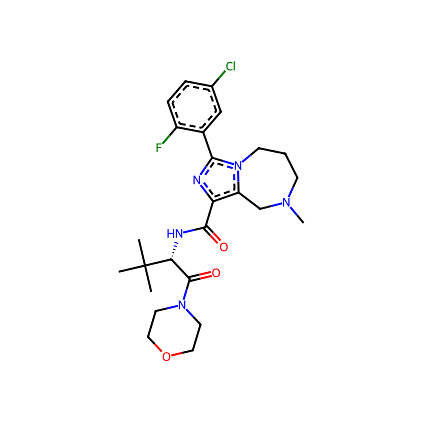 CN1CCCn2c(-c3cc(Cl)ccc3F)nc(C(=O)N[C@H](C(=O)N3CCOCC3)C(C)(C)C)c2C1